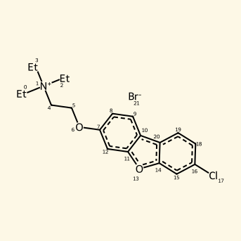 CC[N+](CC)(CC)CCOc1ccc2c(c1)oc1cc(Cl)ccc12.[Br-]